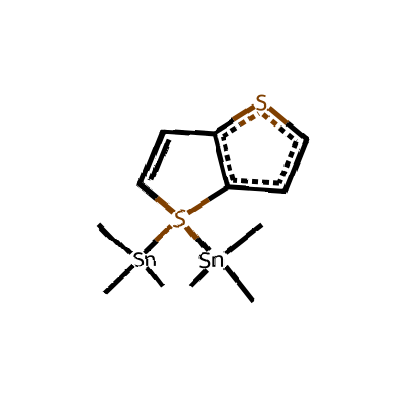 [CH3][Sn]([CH3])([CH3])[S]1([Sn]([CH3])([CH3])[CH3])C=Cc2sccc21